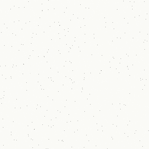 Cc1nc(-c2ccc(C(C)(C)C)cc2)nc(CO)c1C(=O)OC(C)(C)C